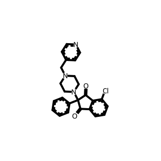 O=C1c2cccc(Cl)c2C(=O)C1(c1ccccc1)N1CCN(Cc2ccncc2)CC1